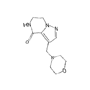 O=C1NCCn2ncc(CN3CCOCC3)c21